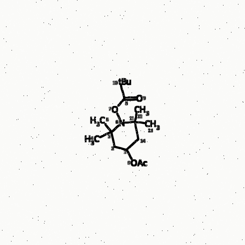 CC(=O)OC1CC(C)(C)N(OC(=O)C(C)(C)C)C(C)(C)C1